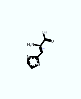 N/C(=C\c1nccs1)C(=O)O